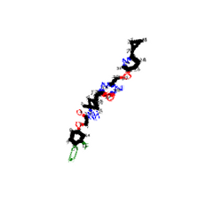 CC1(NC(=O)COc2ccc(Cl)c(F)c2)C=C(c2nc(COc3ccc(C4CC4)nc3)no2)C1